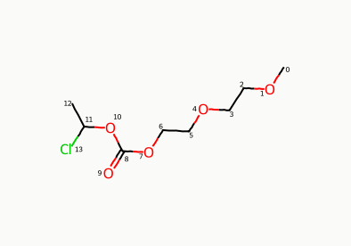 COCCOCCOC(=O)OC(C)Cl